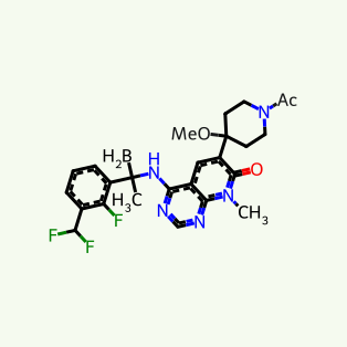 BC(C)(Nc1ncnc2c1cc(C1(OC)CCN(C(C)=O)CC1)c(=O)n2C)c1cccc(C(F)F)c1F